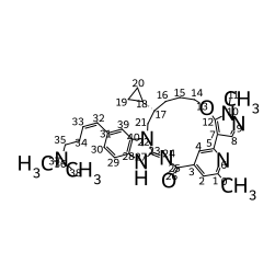 Cc1cc2cc(n1)-c1cnn(C)c1OCCC[C@@H](C1CC1)CN1/C(=N/C2=O)Nc2ccc(/C=C\CCN(C)C)cc21